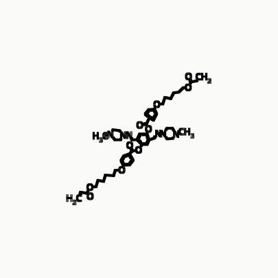 C=CC(=O)OCCCCCCOc1ccc(C(=O)Oc2cc(/C=N/N3CCN(C)CC3)c(OC(=O)c3ccc(OCCCCCCOC(=O)C=C)cc3)cc2/C=N/N2CCN(C)CC2)cc1